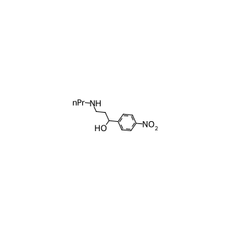 CCCNCCC(O)c1ccc([N+](=O)[O-])cc1